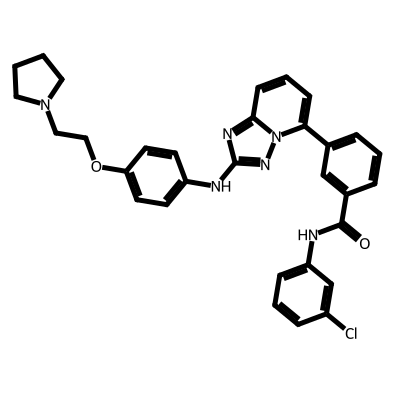 O=C(Nc1cccc(Cl)c1)c1cccc(-c2cccc3nc(Nc4ccc(OCCN5CCCC5)cc4)nn23)c1